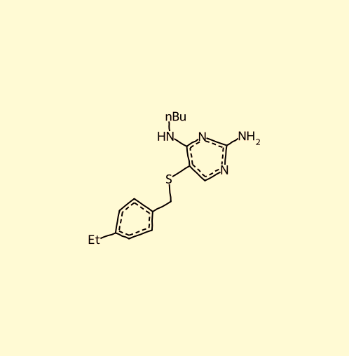 CCCCNc1nc(N)ncc1SCc1ccc(CC)cc1